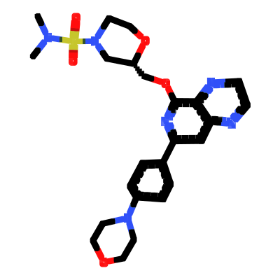 CN(C)S(=O)(=O)N1CCO[C@H](COc2nc(-c3ccc(N4CCOCC4)cc3)cc3nccnc23)C1